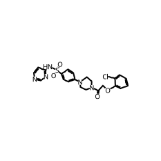 O=C(COc1ccccc1Cl)N1CCN(c2ccc(S(=O)(=O)Nc3ccncn3)cc2)CC1